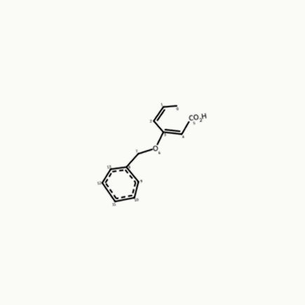 C/C=C\C(=C/C(=O)O)OCc1ccccc1